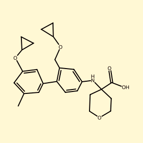 Cc1cc(OC2CC2)cc(-c2ccc(NC3(C(=O)O)CCOCC3)cc2COC2CC2)c1